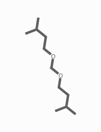 CC(C)CCO[CH]OCCC(C)C